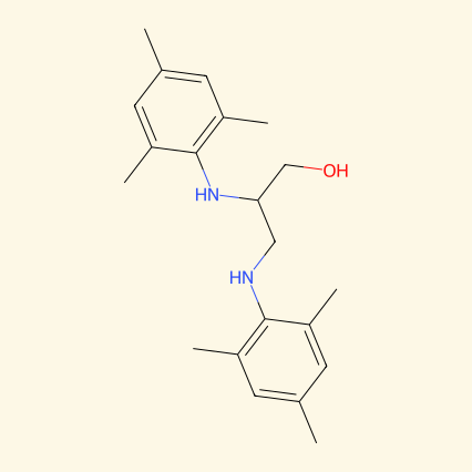 Cc1cc(C)c(NCC(CO)Nc2c(C)cc(C)cc2C)c(C)c1